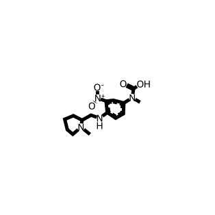 CN(C(=O)O)c1ccc(NCC2CCCCN2C)c([N+](=O)[O-])c1